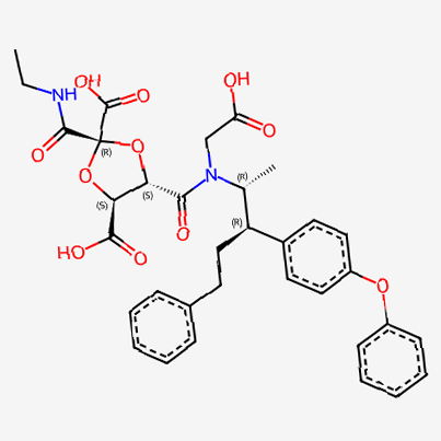 CCNC(=O)[C@]1(C(=O)O)O[C@H](C(=O)O)[C@@H](C(=O)N(CC(=O)O)[C@H](C)[C@H](CCc2ccccc2)c2ccc(Oc3ccccc3)cc2)O1